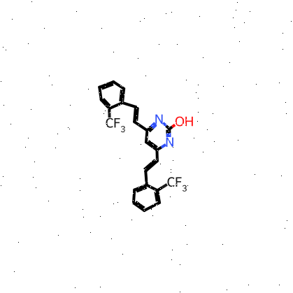 Oc1nc(C=Cc2ccccc2C(F)(F)F)cc(C=Cc2ccccc2C(F)(F)F)n1